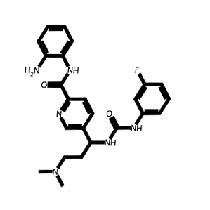 CN(C)CCC(NC(=O)Nc1cccc(F)c1)c1ccc(C(=O)Nc2ccccc2N)nc1